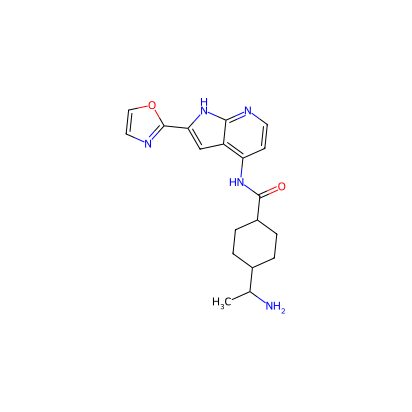 CC(N)C1CCC(C(=O)Nc2ccnc3[nH]c(-c4ncco4)cc23)CC1